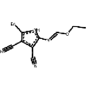 CCO/C=N/c1[nH]c(Br)c(C#N)c1C#N